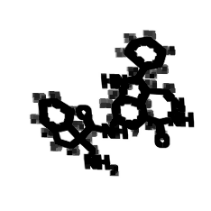 NCC1(C(=O)Nc2cc3c4c(c(-c5ccccc5)[nH]c4c2)C=NNC3=O)CCc2ccccc21